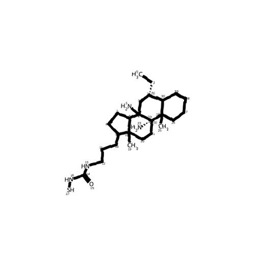 CC[C@H]1CC2(N)C3CCC(CCCNC(=O)NS)C3(C)CC[C@]2(N)C2(C)CCCCC12